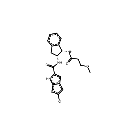 COCCC(=O)N[C@H]1c2ccccc2C[C@H]1NC(=O)c1cc2cc(Cl)sc2[nH]1